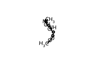 CCCCOCCOc1ccc(-c2cccc(CCC(=O)Nc3ccc([S+]([O-])Cc4cncn4CC)cc3)c2)cc1